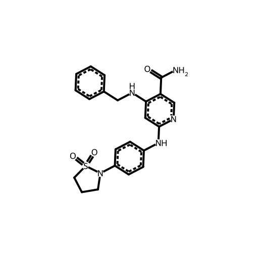 NC(=O)c1cnc(Nc2ccc(N3CCCS3(=O)=O)cc2)cc1NCc1ccccc1